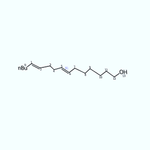 CCCCC=CCC/C=C/CCCCCCO